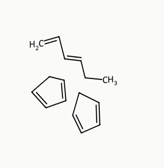 C1=CCC=C1.C1=CCC=C1.C=CC=CCC